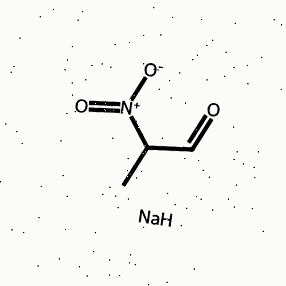 CC(C=O)[N+](=O)[O-].[NaH]